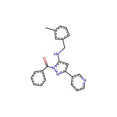 Cc1cccc(CNc2cc(-c3cccnc3)nn2C(=O)c2ccccc2)c1